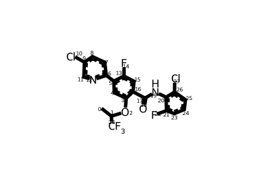 CC(Oc1cc(-c2ccc(Cl)cn2)c(F)cc1C(=O)Nc1c(F)cccc1Cl)C(F)(F)F